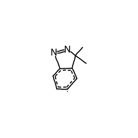 CC1(C)N=Nc2cc[c]cc21